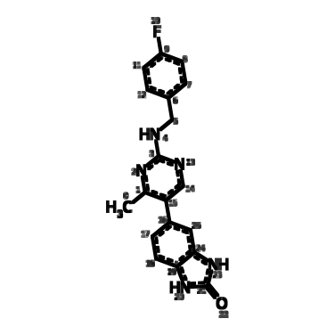 Cc1nc(NCc2ccc(F)cc2)ncc1-c1ccc2[nH]c(=O)[nH]c2c1